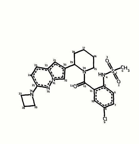 CS(=O)(=O)Nc1ccc(Cl)cc1C(=O)N1CCCCC1c1cc2ccc(N3CCC3)nn2c1